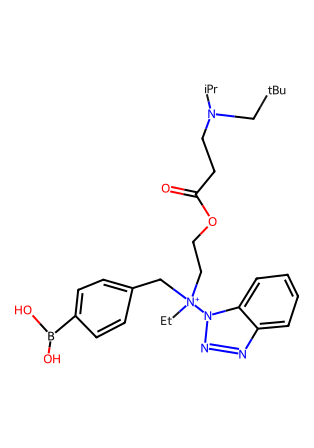 CC[N+](CCOC(=O)CCN(CC(C)(C)C)C(C)C)(Cc1ccc(B(O)O)cc1)n1nnc2ccccc21